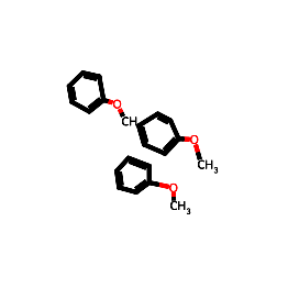 COc1ccccc1.COc1ccccc1.COc1ccccc1